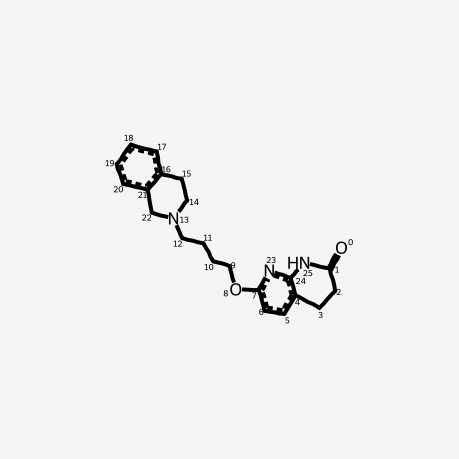 O=C1CCc2ccc(OCCCCN3CCc4ccccc4C3)nc2N1